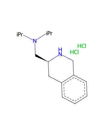 CC(C)N(C[C@@H]1Cc2ccccc2CN1)C(C)C.Cl.Cl